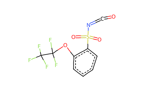 O=C=NS(=O)(=O)c1ccccc1OC(F)(F)C(F)(F)F